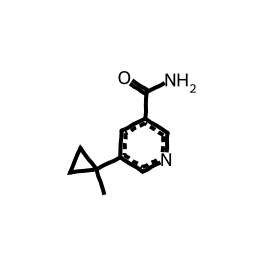 CC1(c2cncc(C(N)=O)c2)CC1